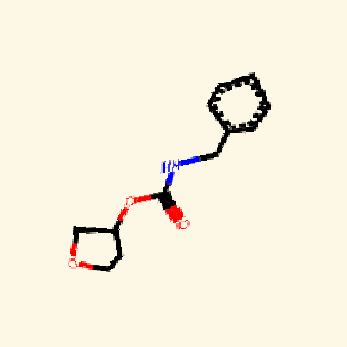 O=C(NCc1c[c]ccc1)OC1CCOC1